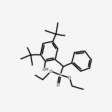 CCOP(=O)(OCC)C(c1ccccc1)c1cc(C(C)(C)C)cc(C(C)(C)C)c1O